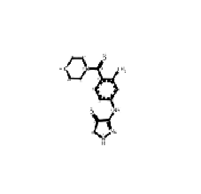 Cc1cc(NC2=NNCC2=O)ccc1C(=O)N1CCOCC1